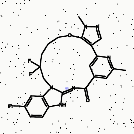 Cc1cc2cc(n1)-c1cnn(C)c1OCCCC(F)(F)CN1/C(=N/C2=O)Nc2ccc(C(C)C)cc21